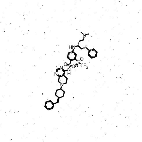 CN(C)CC[C@H](CSc1ccccc1)Nc1ccc(S(=O)(=O)Nc2ncnc3c2CCN(C2CCC(=Cc4ccccc4)CC2)C3)c(S(=O)(=O)C(F)(F)F)c1